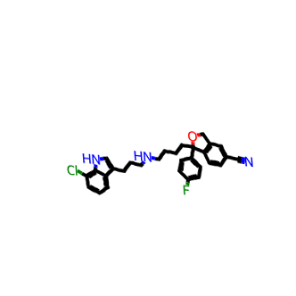 N#Cc1ccc2c(c1)COC2(CCCCNCCCc1c[nH]c2c(Cl)cccc12)c1ccc(F)cc1